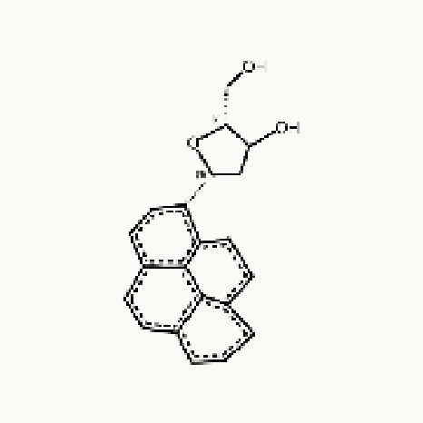 OC[C@H]1O[C@@H](c2ccc3ccc4cccc5ccc2c3c45)CC1O